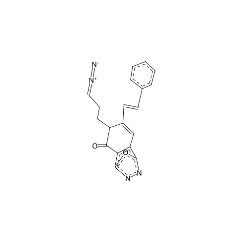 [N-]=[N+]=CCCC1C(=O)c2c(c3nnc2o3)C=C1C=Cc1ccccc1